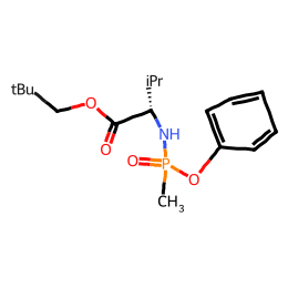 CC(C)[C@H](NP(C)(=O)Oc1ccccc1)C(=O)OCC(C)(C)C